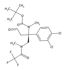 CN(C[C@](CC=O)(c1ccc(Cl)c(Cl)c1)N(C)C(=O)OC(C)(C)C)C(=O)C(F)(F)F